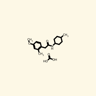 COc1ccc(CC(=O)NC2CCC(C)CC2)c(C)c1.O=C(O)O